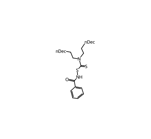 CCCCCCCCCCCCN(CCCCCCCCCCCC)C(=S)SNC(=O)c1ccccc1